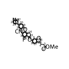 COC(=O)CC[C@@H]1COc2cc(O[C@@H]3CCc4c(Oc5ccc(-c6ccnn6C)cc5C#N)ccc(F)c43)ccc21